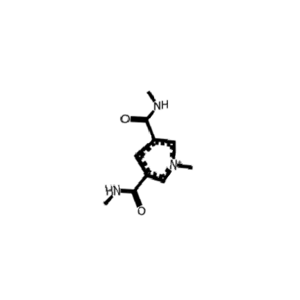 CNC(=O)c1cc(C(=O)NC)c[n+](C)c1